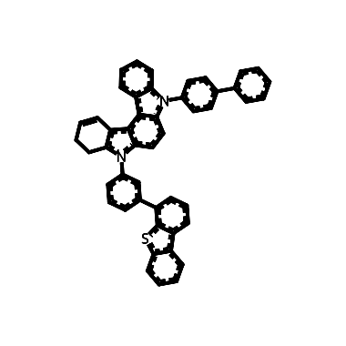 C1=Cc2c(n(-c3cccc(-c4cccc5c4sc4ccccc45)c3)c3ccc4c(c5ccccc5n4-c4ccc(-c5ccccc5)cc4)c23)CC1